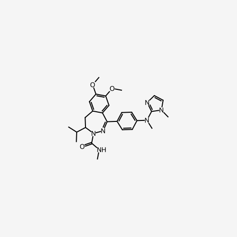 CNC(=O)N1N=C(c2ccc(N(C)c3nccn3C)cc2)c2cc(OC)c(OC)cc2CC1C(C)C